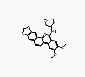 CCC(CO)Nc1nc2c3cc4c(cc3ccc2c2cc(OC)c(OC)cc12)OCO4